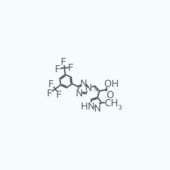 Cc1n[nH]cc1/C(=C\n1cnc(-c2cc(C(F)(F)F)cc(C(F)(F)F)c2)n1)C(=O)O